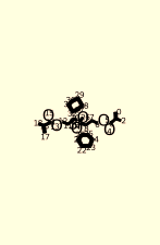 C=C(C)C(=O)OCCC[Si](CCCOC(=O)C(=C)C)(Oc1ccccc1)Oc1ccccc1